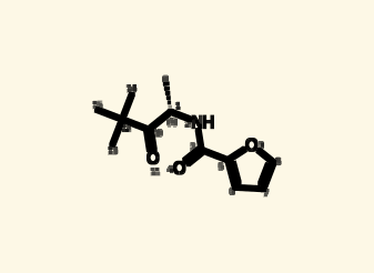 C[C@H](NC(=O)c1ccco1)C(=O)C(C)(C)C